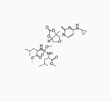 C=C1N=C(NC2CC2)C=CN1[C@@H]1O[C@H](COP(=O)(NC(CC(C)C)C(=O)OC)NC(CC(C)C)C(=O)OC)[C@@H]2OC(=O)OC21C